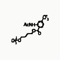 CC(=O)Nc1cc(C(F)(F)F)ccc1C(=O)OCCCCOP(C)(C)=O